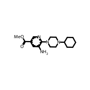 COC(=O)c1cnc(N2CCN(C3CCCCC3)CC2)c(N)c1